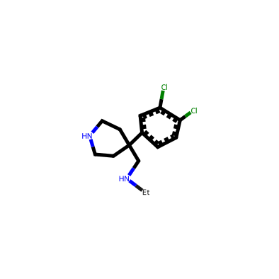 CCNCC1(c2ccc(Cl)c(Cl)c2)CCNCC1